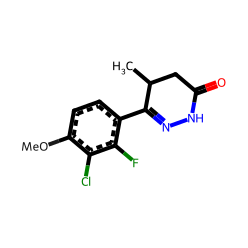 COc1ccc(C2=NNC(=O)CC2C)c(F)c1Cl